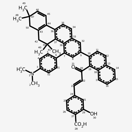 CN(C)c1ccc(-c2cc(-c3ccc4ccccc4c3C(=O)/C=C/c3ccc(C(=O)O)c(O)c3)cc3ccc4c(c23)C(C)(C)CC2=C4C=CC(C)(C)C2)cc1